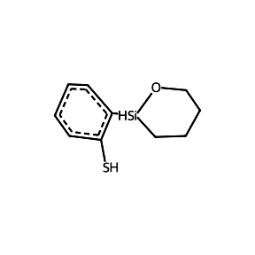 Sc1ccccc1[SiH]1CCCCO1